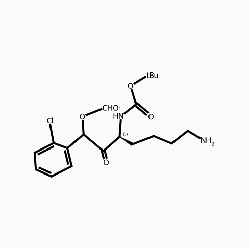 CC(C)(C)OC(=O)N[C@@H](CCCCN)C(=O)C(O[C]=O)c1ccccc1Cl